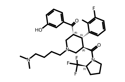 Cc1c(F)cccc1[C@H]1[C@@H](C(=O)c2cccc(O)c2)CN(CCCCN(C)C)C[C@@H]1C(=O)N1CCC[C@H]1C(F)(F)F